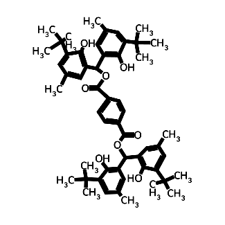 Cc1cc(C(OC(=O)c2ccc(C(=O)OC(c3cc(C)cc(C(C)(C)C)c3O)c3cc(C)cc(C(C)(C)C)c3O)cc2)c2cc(C)cc(C(C)(C)C)c2O)c(O)c(C(C)(C)C)c1